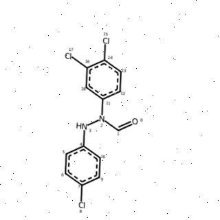 O=CN(Nc1ccc(Cl)cc1)c1ccc(Cl)c(Cl)c1